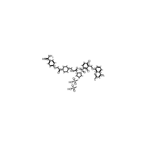 CS(=O)(=O)O.CS(=O)(=O)O.Cc1cc(C)c2cccc(OCc3c(Cl)ccc(S(=O)(=O)N4CCC[C@H]4C(=O)NCC4CCN(C(=O)COc5ccc(C(=N)N)cc5)CC4)c3Cl)c2n1